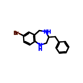 Brc1ccc2c(c1)CNC(Cc1ccccc1)CN2